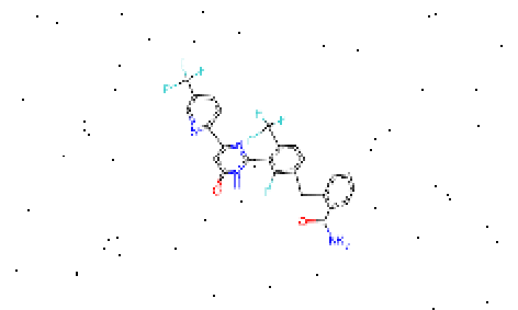 NC(=O)c1ccccc1Cc1ccc(C(F)(F)F)c(-c2nc(-c3ccc(C(F)(F)F)cn3)cc(=O)[nH]2)c1F